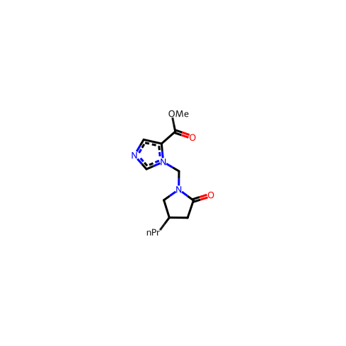 CCCC1CC(=O)N(Cn2cncc2C(=O)OC)C1